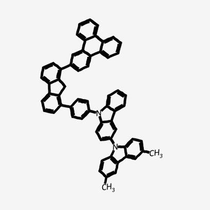 Cc1ccc2c(c1)c1cc(C)ccc1n2-c1ccc2c(c1)c1ccccc1n2-c1ccc(-c2cccc3c2Cc2c(-c4ccc5c6ccccc6c6ccccc6c5c4)cccc2-3)cc1